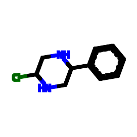 ClC1CNC(c2ccccc2)CN1